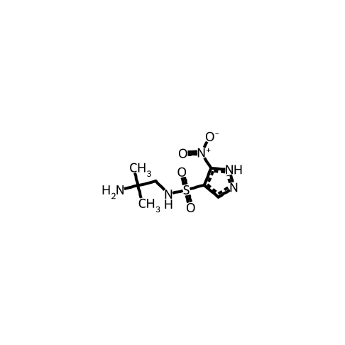 CC(C)(N)CNS(=O)(=O)c1cn[nH]c1[N+](=O)[O-]